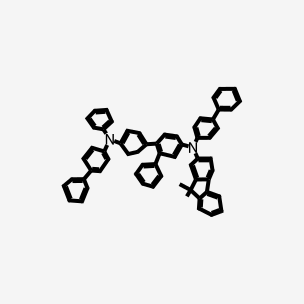 CC1(C)c2ccccc2-c2ccc(N(c3ccc(-c4ccccc4)cc3)c3ccc(C4=CC=C(N(c5ccccc5)c5ccc(-c6ccccc6)cc5)CC4)c(-c4ccccc4)c3)cc21